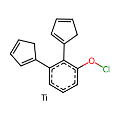 ClOc1cccc(C2=CC=CC2)c1C1=CC=CC1.[Ti]